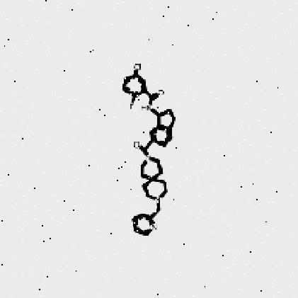 O=C(NC1CCc2ccc(C(=O)N3CCC4(CCN(Cc5ccccn5)CC4)CC3)cc21)c1cc(Cl)ccc1F